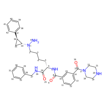 NN(CCCC[C@H](NC(=O)c1cccc(C(=O)N2CCNCC2)c1)C(=O)NCc1ccccc1)[C@@H]1C[C@H]1c1ccccc1